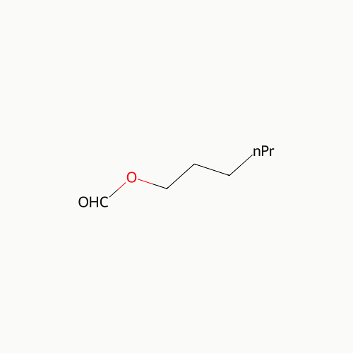 [CH2]CCCCCOC=O